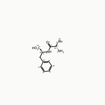 CC[C@H](C)[C@H](N)C(=O)N[C@@H](Cc1ccccc1)C(=O)O